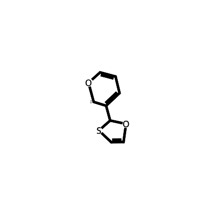 [C]1OC=CC=C1C1OC=CS1